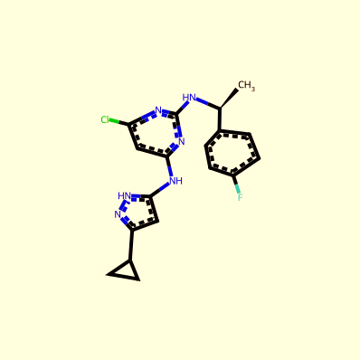 C[C@H](Nc1nc(Cl)cc(Nc2cc(C3CC3)n[nH]2)n1)c1ccc(F)cc1